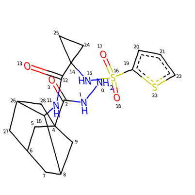 NNC(=O)C12CC3CC(C1)C(NC(=O)C1(NS(=O)(=O)c4cccs4)CC1)C(C3)C2